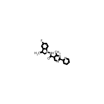 C=C1CN(NC(=O)c2cnc(-c3ccccn3)nc2C)c2ccc(F)cc21